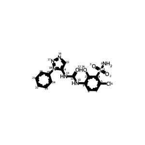 NS(=O)(=O)c1c(Cl)ccc(NC(=O)Nc2cnnn2-c2ccccc2)c1O